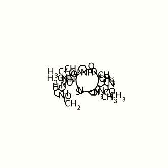 C=CC(=O)N1CCC[C@@H]2CN(C(=O)N(C)[C@H](C(=O)N[C@H]3Cc4nc(cs4)-c4ccc5c(c4)c(c(-c4cccnc4[C@H](C)OC)n5CC)CC(C)(C)COC(=O)C4CCCN(N4)C3=O)C(C)C)C[C@@H]21